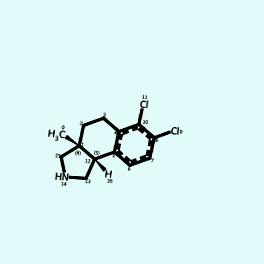 C[C@@]12CCc3c(ccc(Cl)c3Cl)[C@@H]1CNC2